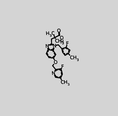 Cc1ccc(Cn2c(CC(C)(C)C(=O)O)nc3ccc(OCc4ncc(C)cc4F)cc32)c(F)c1